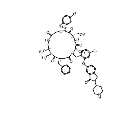 C[C@H]1CNC(=O)C[C@H](Cc2ccc(Cl)cc2)N(C)C(=O)[C@H](CO)NC(=O)[C@H](C)N(Cc2ccc(Cl)cc2Oc2ccc3c(c2)C(=O)N(C2CCNCC2)C3)C(=O)C[C@@H](Cc2ccccc2)C(=O)N1C